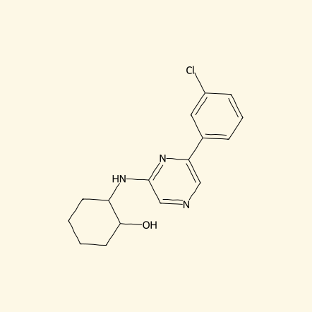 OC1CCCCC1Nc1cncc(-c2cccc(Cl)c2)n1